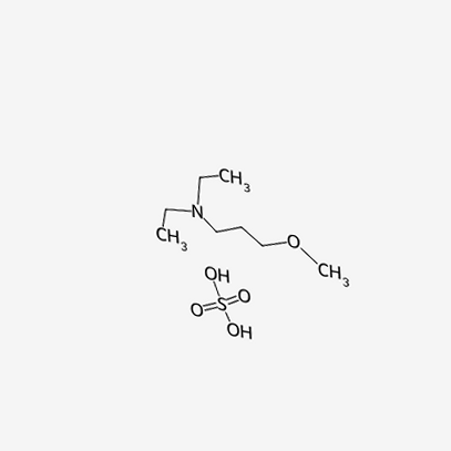 CCN(CC)CCCOC.O=S(=O)(O)O